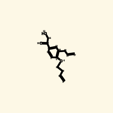 C=CCCOc1ccc(C(=O)CO)cc1CC=C